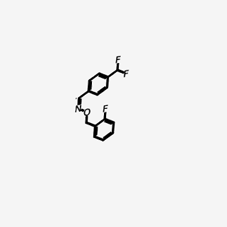 Fc1ccccc1CO/N=[C]\c1ccc(C(F)F)cc1